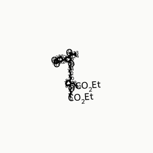 CCOC(=O)CCCOc1cccc(CCCCCCOc2cc(C(=O)C3CC3)cc(-c3ccc4c(c3)OCO4)c2)c1CCC(=O)OCC